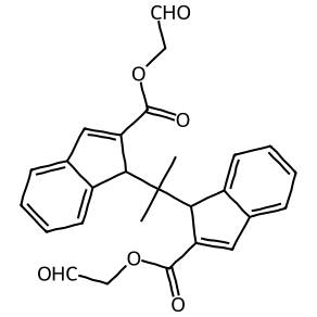 CC(C)(C1C(C(=O)OCC=O)=Cc2ccccc21)C1C(C(=O)OCC=O)=Cc2ccccc21